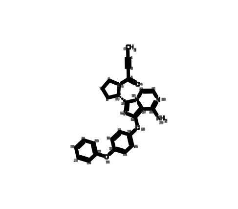 CC#CC(=O)N1CCC[C@H]1c1nc(Oc2ccc(Oc3ccccc3)cc2)c2c(N)nccn12